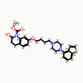 CCCOC(=O)N1C(=O)CCc2ccc(OCCCCN3CCN(c4cccc5sccc45)CC3)cc21